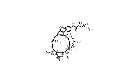 COc1cc2cc(c1-c1ccc(NC(=O)CCC(C)(C)S)cc1)N(C)C(=O)C[C@H](OC(=O)C(C)C)[C@]1(C)O[C@H]1[C@H](C)[C@@H]1C[C@@](O)(NC(=O)O1)[C@H](OC)/C=C/C=C(\C)C2